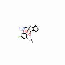 Cc1cc(F)ccc1OC1c2ccccc2CC1(O)CN